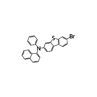 Brc1ccc2c(c1)sc1cc(N(c3ccccc3)c3cccc4ccccc34)ccc12